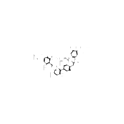 COCCn1c(Cc2cc(F)c(-c3nc(OCc4ccc(C#N)cc4F)c(F)cc3F)cc2F)nc2ccc(C(=O)O)cc21